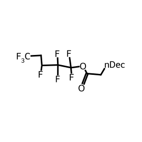 CCCCCCCCCCCC(=O)OC(F)(F)C(F)(F)C(F)CC(F)(F)F